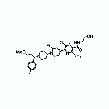 CC[C@H]1CN(c2nc(N)c(C(=O)NCCO)nc2Cl)CCN1C1CCN(C(CCOC)c2ccc(C)cc2)CC1